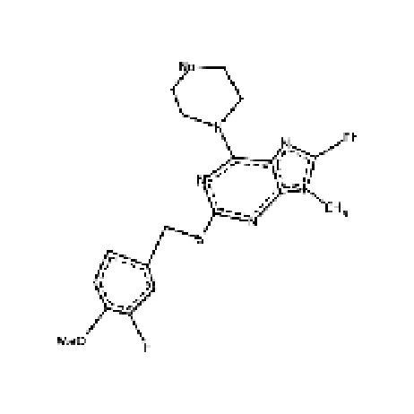 CCc1nc2c(N3C[CH2][No][CH2]C3)nc(SCc3ccc(OC)c(F)c3)nc2n1C